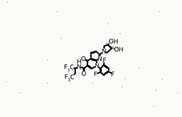 O=C(NC(CC(F)(F)F)C(F)(F)F)c1cn(-c2c(F)cc(F)cc2F)c2nc(N3C[C@@H](O)[C@H](O)C3)ccc2c1=O